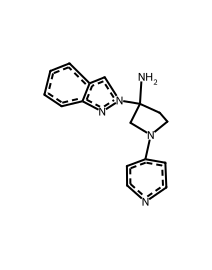 NC1(n2cc3ccccc3n2)CCN(c2ccncc2)C1